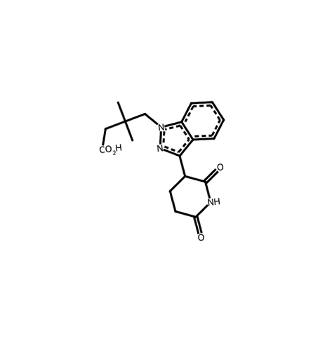 CC(C)(CC(=O)O)Cn1nc(C2CCC(=O)NC2=O)c2ccccc21